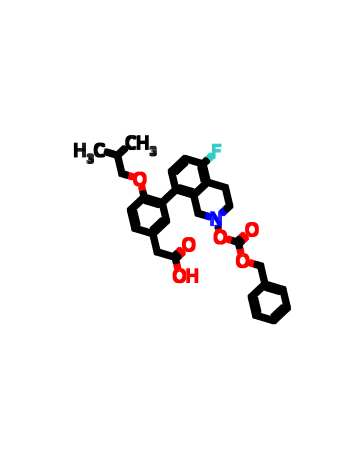 CC(C)COc1ccc(CC(=O)O)cc1-c1ccc(F)c2c1CN(OC(=O)OCc1ccccc1)CC2